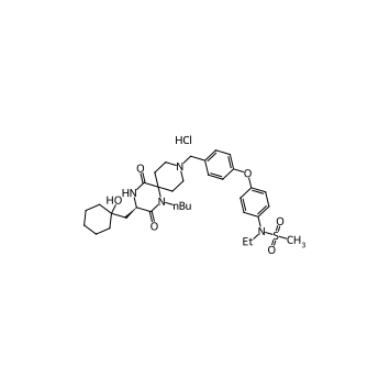 CCCCN1C(=O)[C@@H](CC2(O)CCCCC2)NC(=O)C12CCN(Cc1ccc(Oc3ccc(N(CC)S(C)(=O)=O)cc3)cc1)CC2.Cl